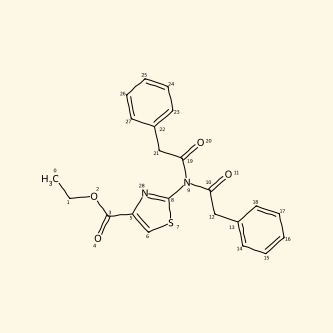 CCOC(=O)c1csc(N(C(=O)Cc2ccccc2)C(=O)Cc2ccccc2)n1